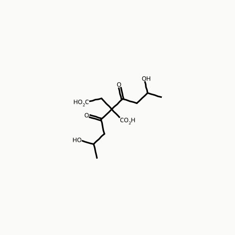 CC(O)CC(=O)C(CC(=O)O)(C(=O)O)C(=O)CC(C)O